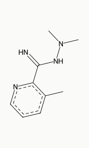 Cc1cccnc1C(=N)NN(C)C